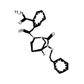 N=C(c1ccccc1C(N)=O)[C@@H]1CC[C@@H]2CN1C(=O)N2OCc1ccccc1